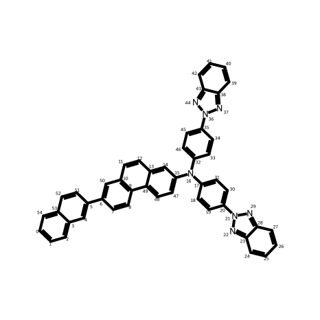 c1ccc2cc(-c3ccc4c(ccc5cc(N(c6ccc(-n7nc8ccccc8n7)cc6)c6ccc(-n7nc8ccccc8n7)cc6)ccc54)c3)ccc2c1